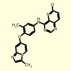 Cc1cc(Nc2ncnc3ccc(Cl)nc23)ccc1Oc1ccn2c(C)cnc2c1